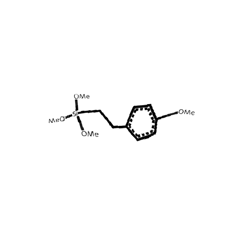 COc1ccc(CC[Si](OC)(OC)OC)cc1